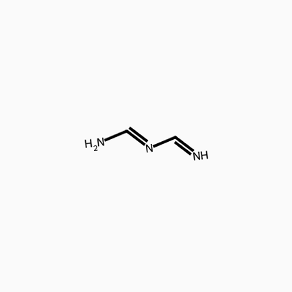 N=C/N=C/N